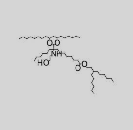 CCCCCCCCC(CCCCCCCC)OC(=O)C(CCCCCC)(CCCCCCCC(=O)OCCC(CCCCCC)CCCCCC)NCCO